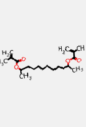 C=C(C)C(=O)OC(C)CCCCCCCCC(C)OC(=O)C(=C)C